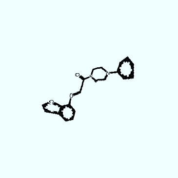 O=C(COc1cccc2ccoc12)N1CCN(c2ccccc2)CC1